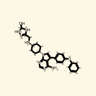 Nc1ncnc2c1c(-c1ccc(Oc3ccccc3)cc1)cn2[C@H]1CC[C@H](NCC2=NNC(O)N2)CC1